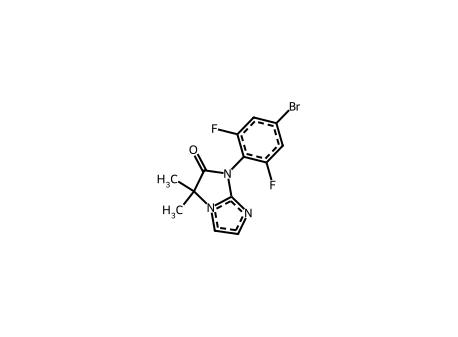 CC1(C)C(=O)N(c2c(F)cc(Br)cc2F)c2nccn21